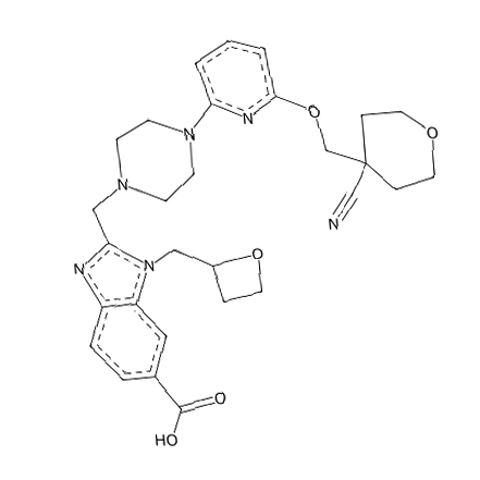 N#CC1(COc2cccc(N3CCN(Cc4nc5ccc(C(=O)O)cc5n4CC4CCO4)CC3)n2)CCOCC1